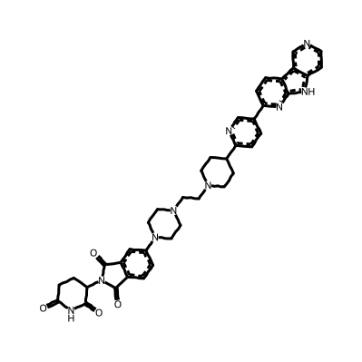 O=C1CCC(N2C(=O)c3ccc(N4CCN(CCN5CCC(c6ccc(-c7ccc8c(n7)[nH]c7ccncc78)cn6)CC5)CC4)cc3C2=O)C(=O)N1